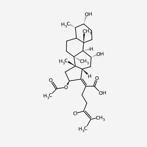 CC(=O)O[C@H]1C[C@@]2(C)[C@H](C[C@@H](O)[C@@H]3[C@@]4(C)CC[C@@H](O)[C@@H](C)C4CC[C@@]32C)C1=C(CCC(Cl)=C(C)C)C(=O)O